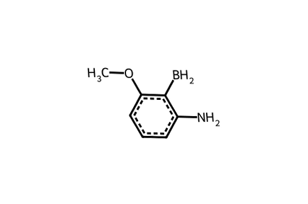 Bc1c(N)cccc1OC